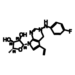 C=Cc1cn([C@@H]2O[C@H](C)[C@@H](O)[C@H]2O)c2c1CN(Nc1ccc(F)cc1)C=N2